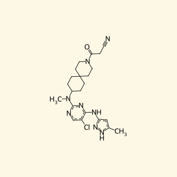 Cc1cc(Nc2nc(N(C)C3CCC4(CC3)CCN(C(=O)CC#N)CC4)ncc2Cl)n[nH]1